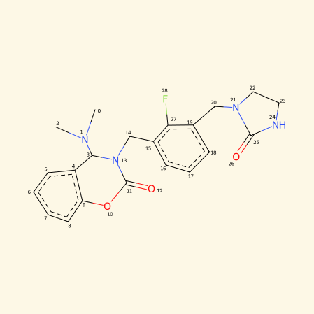 CN(C)C1c2ccccc2OC(=O)N1Cc1cccc(CN2CCNC2=O)c1F